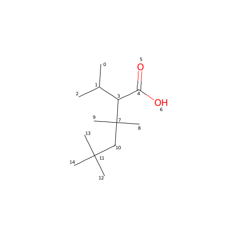 CC(C)C(C(=O)O)C(C)(C)CC(C)(C)C